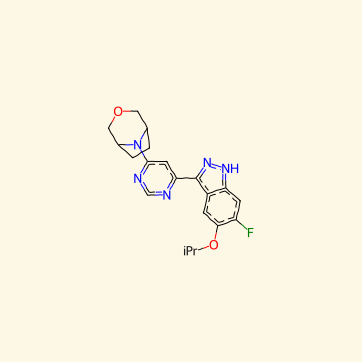 CC(C)Oc1cc2c(-c3cc(N4C5CCC4COC5)ncn3)n[nH]c2cc1F